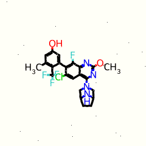 COc1nc(N2CC3CCC(C2)N3)c2cc(Cl)c(-c3cc(O)cc(C)c3C(F)(F)F)c(F)c2n1